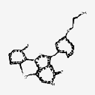 O=c1[nH]cc(Cl)c2c1c(-c1cccc(OCCO)c1)nn2-c1c(F)cccc1F